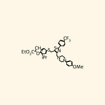 CCOC(=O)C(C)Oc1ccc(SCc2sc(-c3ccc(C(F)(F)F)cc3)nc2CN2CCN(c3ccc(OC)cc3)CC2)cc1C(C)C